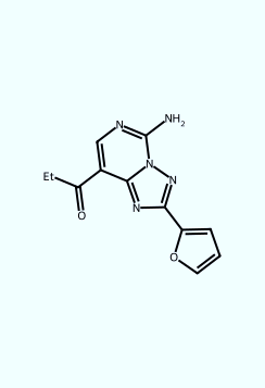 CCC(=O)c1cnc(N)n2nc(-c3ccco3)nc12